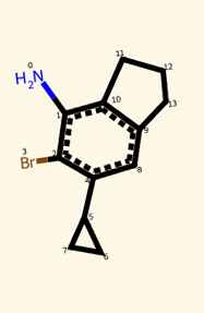 Nc1c(Br)c(C2CC2)cc2c1CCC2